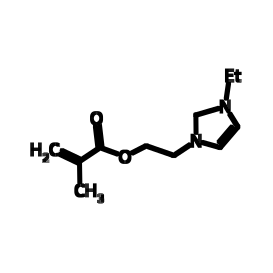 C=C(C)C(=O)OCCN1C=CN(CC)C1